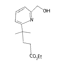 CCOC(=O)CCC(C)(C)c1cccc(CO)n1